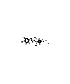 Cc1cc(OCC(=O)NC23CC(N)(C2)C3)ccc1F